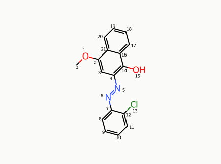 COc1cc(N=Nc2ccccc2Cl)c(O)c2ccccc12